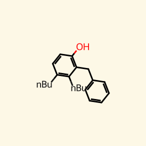 CCCCc1ccc(O)c(Cc2ccccc2)c1CCCC